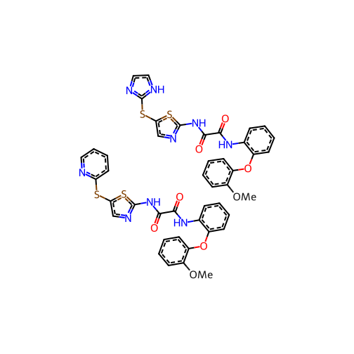 COc1ccccc1Oc1ccccc1NC(=O)C(=O)Nc1ncc(Sc2ccccn2)s1.COc1ccccc1Oc1ccccc1NC(=O)C(=O)Nc1ncc(Sc2ncc[nH]2)s1